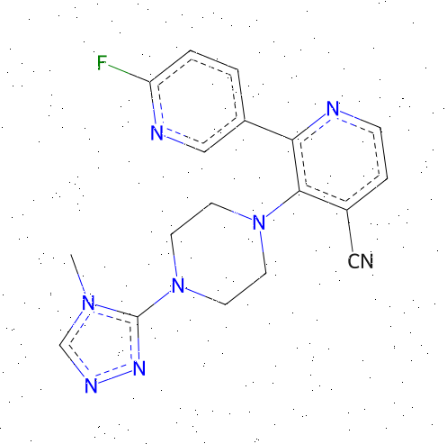 Cn1cnnc1N1CCN(c2c(C#N)ccnc2-c2ccc(F)nc2)CC1